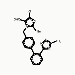 CCCCc1nc(Cl)c(C=O)n1Cc1ccc(-c2ccccc2-c2nnn(C)n2)cc1